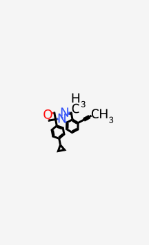 CC#Cc1cccc2c1c(C)nn2C1(c2ccc(C3CC3)cc2)COC1